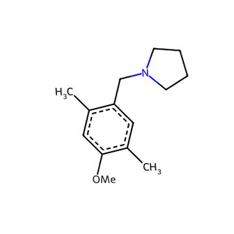 COc1cc(C)c(CN2CCCC2)cc1C